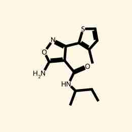 CCC(C)NC(=O)c1c(-c2sccc2C)noc1N